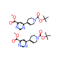 COC(=O)c1cc(C2=CCN(C(=O)OC(C)(C)C)CC2)ncn1.COC(=O)c1cc(C2=CCN(C(=O)OC(C)(C)C)CC2)ncn1